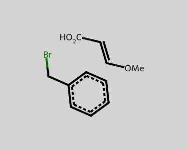 BrCc1ccccc1.COC=CC(=O)O